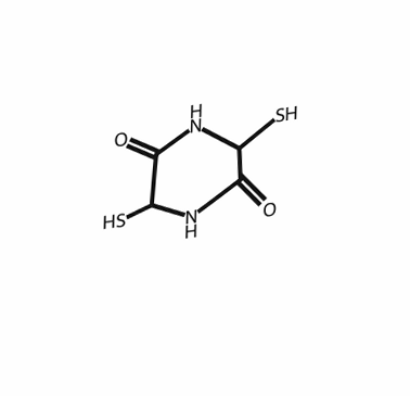 O=C1NC(S)C(=O)NC1S